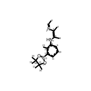 C/C=N\C(C)=C(\C)Nc1cccc(B2OC(C)(C)C(C)(C)O2)c1C